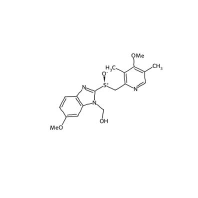 COc1ccc2nc([S@@+]([O-])Cc3ncc(C)c(OC)c3C)n(CO)c2c1